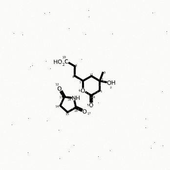 CC1(O)CC(=O)OC(CCC(=O)O)C1.O=C1CCC(=O)N1